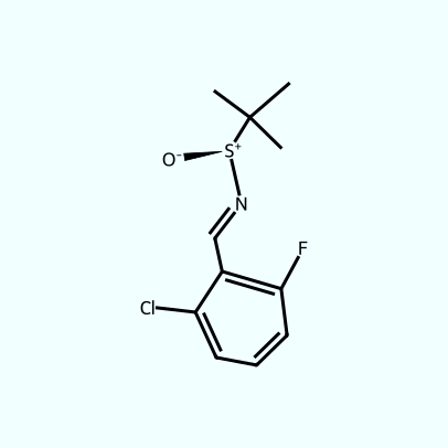 CC(C)(C)[S@+]([O-])/N=C/c1c(F)cccc1Cl